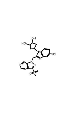 CS(=O)(=O)c1nn(Cc2nc3cc(Cl)ccc3n2C2CC(O)C(O)C2)c2cnccc12